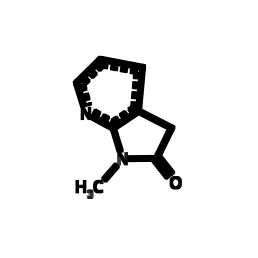 CN1C(=O)Cc2cccnc21